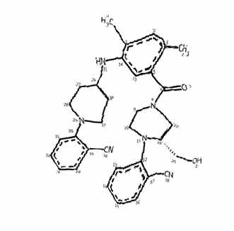 Cc1cc(C)c(C(=O)N2CCN(c3ccccc3C#N)[C@@H](CO)C2)cc1NC1CCN(c2ccccc2C#N)CC1